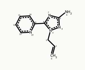 C=CCn1nc(N)nc1-c1ccccn1